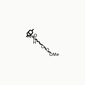 COCCOCCOCCCCCNC(=O)NC12CC(C)CC(CC(C)C1)C2